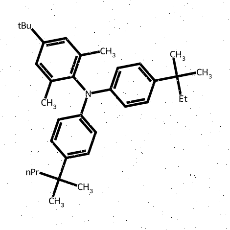 CCCC(C)(C)c1ccc(N(c2ccc(C(C)(C)CC)cc2)c2c(C)cc(C(C)(C)C)cc2C)cc1